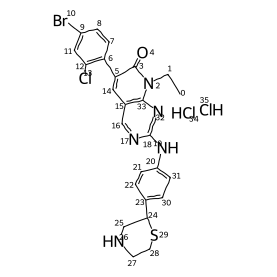 CCn1c(=O)c(-c2ccc(Br)cc2Cl)cc2cnc(Nc3ccc(C4CNCCS4)cc3)nc21.Cl.Cl